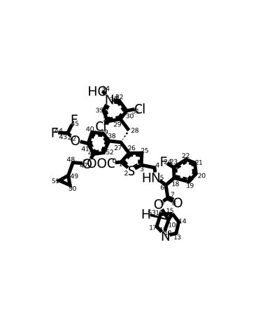 O=C([O-])c1sc(CNC(C(=O)O[C@H]2CN3CCC2CC3)c2ccccc2F)cc1[C@@H](Cc1c(Cl)c[n+](O)cc1Cl)c1ccc(OC(F)F)c(OCC2CC2)c1